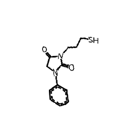 O=C1CN(c2ccccc2)C(=O)N1CCCS